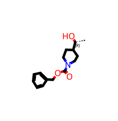 C[C@@H](O)C1CCN(C(=O)OCc2ccccc2)CC1